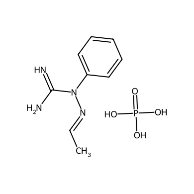 CC=NN(C(=N)N)c1ccccc1.O=P(O)(O)O